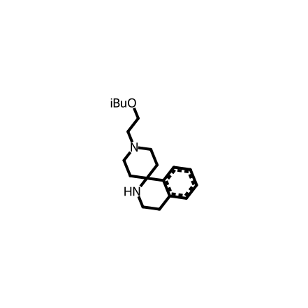 CC(C)COCCN1CCC2(CC1)NCCc1ccccc12